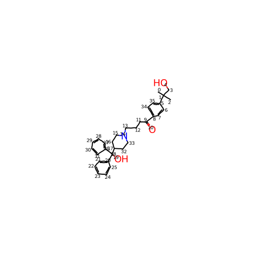 CC(C)(CO)c1ccc(C(=O)CCCN2CCC(C(O)(c3ccccc3)c3ccccc3)CC2)cc1